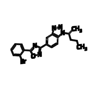 CCCC(C)n1nnc2cc(-c3noc(-c4ccccc4Br)n3)ccc21